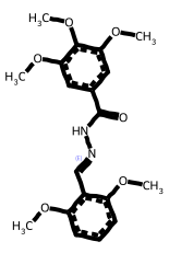 COc1cccc(OC)c1/C=N/NC(=O)c1cc(OC)c(OC)c(OC)c1